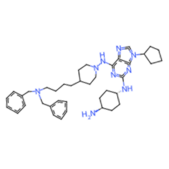 N[C@H]1CC[C@H](Nc2nc(NN3CCC(CCCCN(Cc4ccccc4)Cc4ccccc4)CC3)c3ncn(C4CCCC4)c3n2)CC1